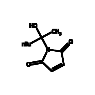 CCCCC(C)(O)N1C(=O)C=CC1=O